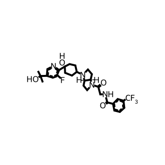 CC(C)(O)c1cnc(C2(O)CCC(N3CC[C@@H]4[C@H]3CCN4C(=O)CNC(=O)c3cccc(C(F)(F)F)c3)CC2)c(F)c1